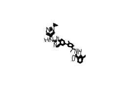 Cc1cccc(C(=O)N[C@@H](C)c2ccc(C)c(-c3ccc4nc(Nc5cnn(C6CC6)c5)ncc4c3)c2)c1